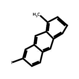 Cc1cccc2cc3ccc(I)cc3cc12